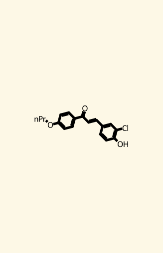 CCCOc1ccc(C(=O)/C=C/c2ccc(O)c(Cl)c2)cc1